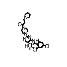 C[C@@H](Nc1nc(N2CCN(C(=O)CCN3CCCC3)CC2)ncc1Cl)c1ccc(Cl)cc1Cl